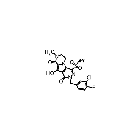 CC(C)S(=O)(=O)c1nn(Cc2ccc(F)c(Cl)c2)c(=O)c2c(O)c3n(c12)CCN(C)C3=O